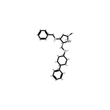 C[C@@H]1CC(OCc2ccccc2)[C@H](COC2CCC(c3ccccc3)CC2)N1